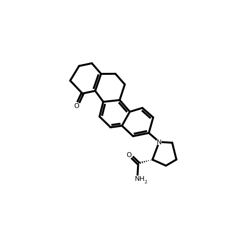 NC(=O)[C@H]1CCCN1c1ccc2c3c(ccc2c1)C1=C(CCCC1=O)CC3